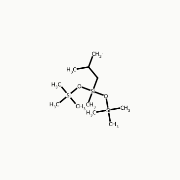 [CH2]C(C)C[Si](C)(O[Si](C)(C)C)O[Si](C)(C)C